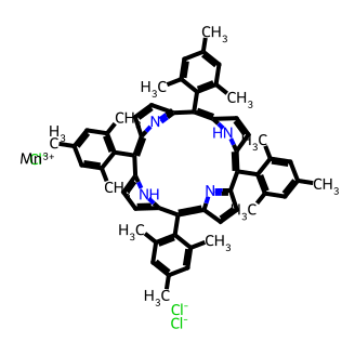 Cc1cc(C)c(-c2c3nc(c(-c4c(C)cc(C)cc4C)c4ccc([nH]4)c(-c4c(C)cc(C)cc4C)c4nc(c(-c5c(C)cc(C)cc5C)c5ccc2[nH]5)C=C4)C=C3)c(C)c1.[Cl-].[Cl-].[Cl-].[Mn+3]